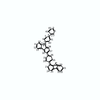 c1ccc(-c2ccc(-n3c4ccccc4c4cc(-c5ccc(-c6cccc7c6sc6ccccc67)cc5)ccc43)cc2)cc1